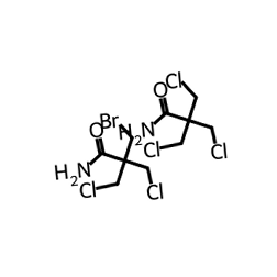 NC(=O)C(CCl)(CCl)CBr.NC(=O)C(CCl)(CCl)CCl